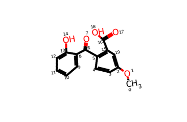 COc1ccc(C(=O)c2ccccc2O)c(C(=O)O)c1